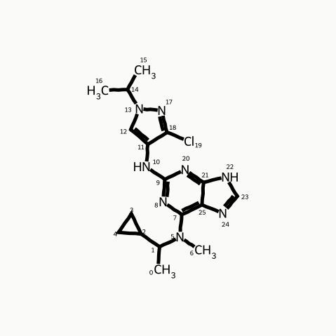 CC(C1CC1)N(C)c1nc(Nc2cn(C(C)C)nc2Cl)nc2[nH]cnc12